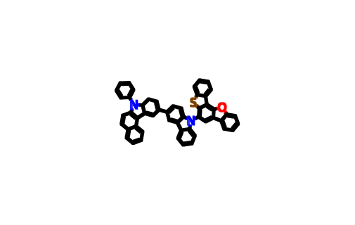 C1=C(c2ccc3c(c2)c2ccccc2n3-c2cc3c4ccccc4oc3c3c2sc2ccccc23)C=C2c3c(ccc4ccccc34)N(c3ccccc3)C2C1